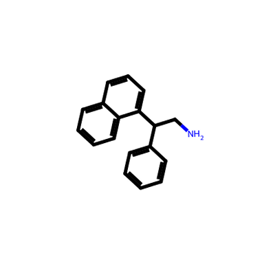 NC[C](c1ccccc1)c1cccc2ccccc12